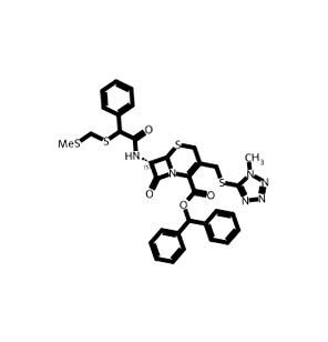 CSCSC(C(=O)N[C@H]1C(=O)N2C(C(=O)OC(c3ccccc3)c3ccccc3)=C(CSc3nnnn3C)CSC12)c1ccccc1